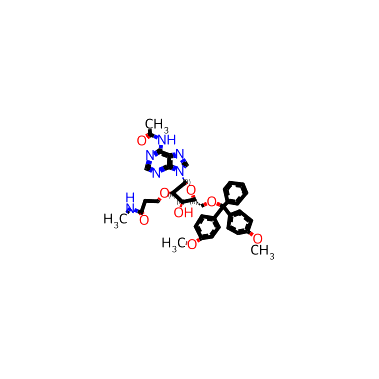 CNC(=O)CCO[C@@H]1[C@H](O)[C@@H](COC(c2ccccc2)(c2ccc(OC)cc2)c2ccc(OC)cc2)O[C@H]1n1cnc2c(NC(C)=O)ncnc21